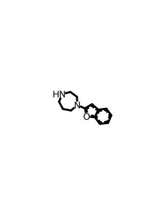 c1ccc2oc(N3CCCNCC3)cc2c1